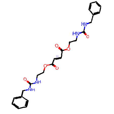 O=C(NCCOC(=O)/C=C/C(=O)OCCNC(=O)NCc1ccccc1)NCc1ccccc1